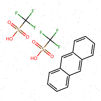 O=S(=O)(O)C(F)(F)F.O=S(=O)(O)C(F)(F)F.c1ccc2cc3ccccc3cc2c1